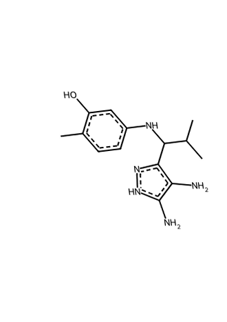 Cc1ccc(NC(c2n[nH]c(N)c2N)C(C)C)cc1O